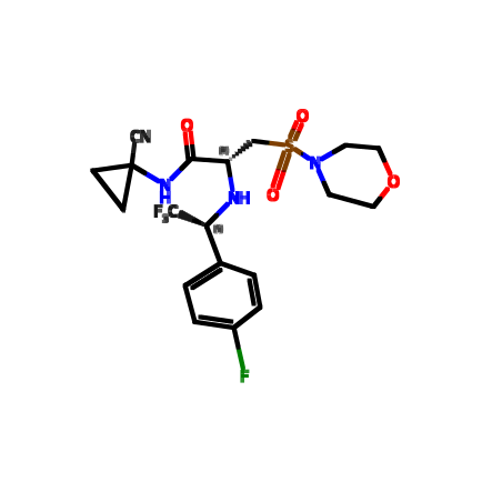 N#CC1(NC(=O)[C@H](CS(=O)(=O)N2CCOCC2)N[C@@H](c2ccc(F)cc2)C(F)(F)F)CC1